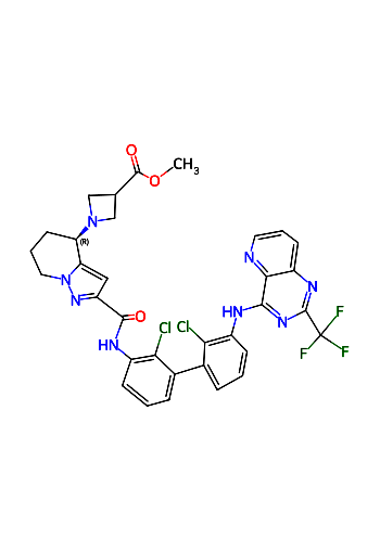 COC(=O)C1CN([C@@H]2CCCn3nc(C(=O)Nc4cccc(-c5cccc(Nc6nc(C(F)(F)F)nc7cccnc67)c5Cl)c4Cl)cc32)C1